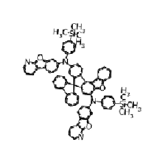 C[Si](C)(C)c1ccc(N(c2ccc3c(c2)C2(c4ccccc4-c4ccccc42)c2cc(N(c4ccc([Si](C)(C)C)cc4)c4ccc5c(c4)oc4ncccc45)c4oc5ccccc5c4c2-3)c2ccc3c(c2)oc2ncccc23)cc1